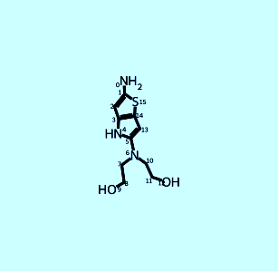 Nc1cc2[nH]c(N(CCO)CCO)cc2s1